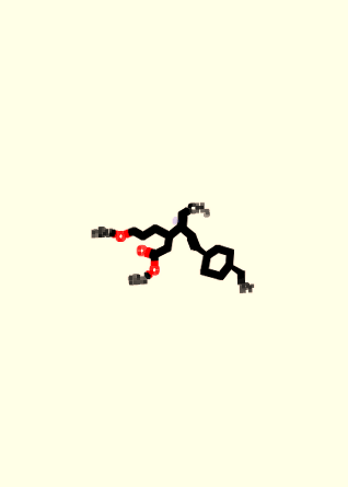 C/C=C(\C=C[C@H]1CC[C@@H](CC(C)C)CC1)C(CCCOCCCC)CC(=O)OC(C)(C)C